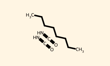 CCCCCCCC.N=C=O.N=C=O